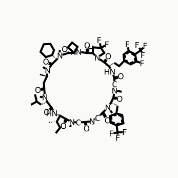 CC[C@H](C)[C@@H]1NC(=O)[C@H](CC(C)C)N(C)C(=O)C[C@@H](C)N(C)C(=O)[C@H](C2CCCCC2)N(C)C(=O)C2(CCC2)NC(=O)[C@@H]2CC(F)(F)CN2C(=O)[C@H](CCc2cc(F)c(C(F)(F)F)c(F)c2)NC(=O)CN(C)C(=O)[C@H](Cc2ccc(C(F)(F)F)cc2)N(C)C(=O)CN(C)C(=O)CN(C)C1=O